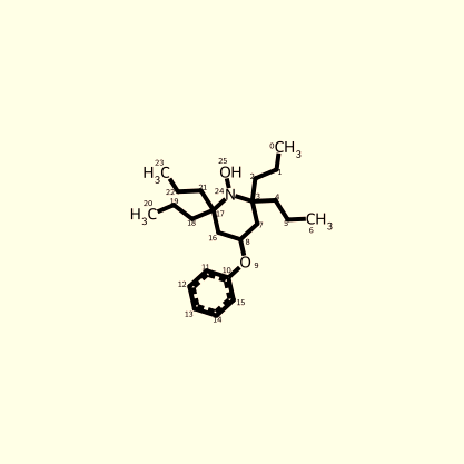 CCCC1(CCC)CC(Oc2ccccc2)CC(CCC)(CCC)N1O